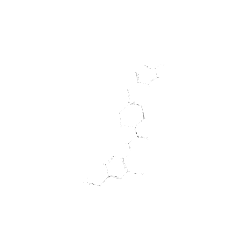 COc1cc(CN)ccc1OCC(=O)N1CCN(Cc2ccc(Cl)cc2)CC1